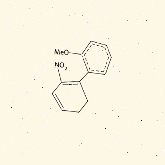 COc1ccccc1C1=C([N+](=O)[O-])C=CCC1